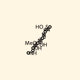 COc1cc(N=Nc2cc(C)c(N=Nc3ccc(N=Nc4ccccc4S(=O)(=O)O)c(C)c3)cc2C)c(CO)cc1N=Nc1ccc2cc(Nc3ccccc3)ccc2c1O